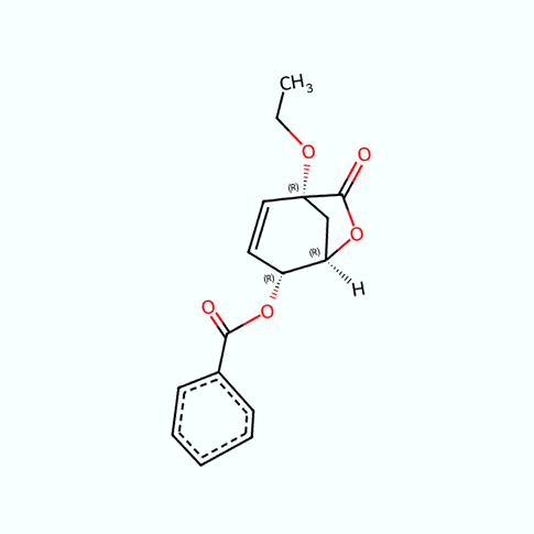 CCO[C@@]12C=C[C@@H](OC(=O)c3ccccc3)[C@@H](C1)OC2=O